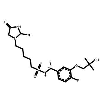 C[C@@H](NS(=O)(=O)CCCCCN1CC(=O)NC1O)c1ccc(F)c(OCC(C)(C)O)c1